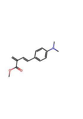 C=C(C=Cc1ccc(N(C)C)cc1)C(=O)OC